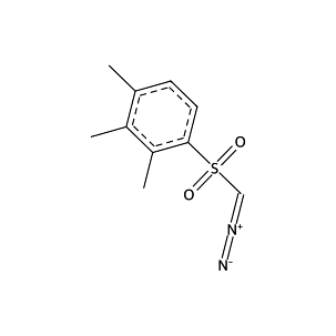 Cc1ccc(S(=O)(=O)C=[N+]=[N-])c(C)c1C